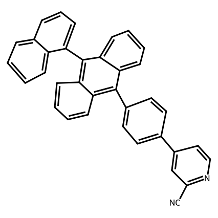 N#Cc1cc(-c2ccc(-c3c4ccccc4c(-c4cccc5ccccc45)c4ccccc34)cc2)ccn1